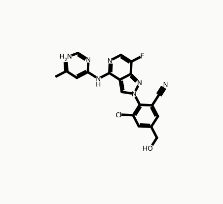 C=C(C)/C=C(\N=C/N)Nc1ncc(F)c2nn(-c3c(Cl)cc(CO)cc3C#N)cc12